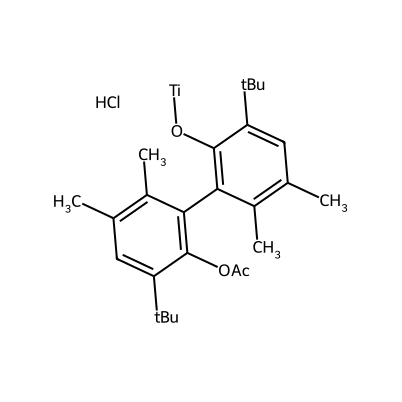 CC(=O)Oc1c(C(C)(C)C)cc(C)c(C)c1-c1c(C)c(C)cc(C(C)(C)C)c1[O][Ti].Cl